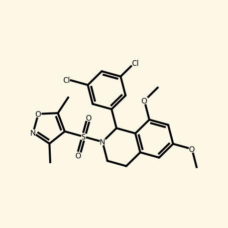 COc1cc2c(c(OC)c1)C(c1cc(Cl)cc(Cl)c1)N(S(=O)(=O)c1c(C)noc1C)CC2